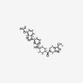 Cc1nnc2n1CCN(C(=O)C1CCC(Nc3nccc(-n4nnc5c(OC(F)F)cccc54)n3)CC1)C2